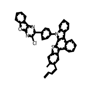 C=C/C=C\c1cc2c(cc1C)sc1c2c2ccccc2c2c3ccccc3n(-c3ccc(-c4nc5c(nc4Cl)oc4ccccc45)cc3)c12